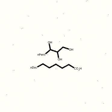 CCCCCC(O)C(O)CO.CCCCCCCCCCCCCCCC(=O)O